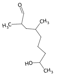 CC(O)CCCC(C)CC(C)C=O